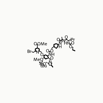 C=CCOC(=O)NC(C(=O)NC(C)C(=O)Nc1ccc(COC(=O)Nc2cc(OCc3cc(C(=O)OC)cc(CBr)n3)c(OC)cc2C(=O)N2CC(=C)C[C@H]2CO[Si](C)(C)C(C)(C)C)cc1)C(C)C